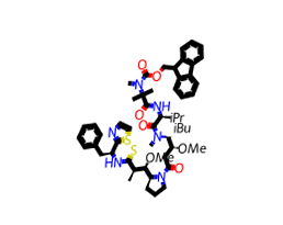 CC[C@H](C)[C@@H]([C@@H](CC(=O)N1CCC[C@H]1[C@H](OC)[C@@H](C)C(=S)N[C@@H](Cc1ccccc1)c1nccs1)OC)N(C)C(=O)[C@@H](NC(=O)C(C)(C)N(C)C(=O)OCC1c2ccccc2-c2ccccc21)C(C)C